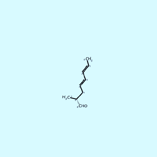 C/C=C/C=C/C[C@@H](C)C=O